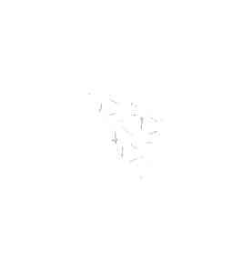 NC(=O)N(c1ccc(F)cc1F)c1cnc2cc3c(cc2c1-c1ccccc1Cl)CCC3